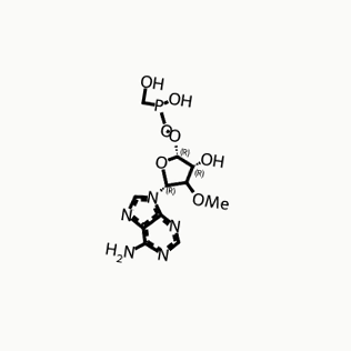 COC1[C@@H](O)[C@@H](OOP(O)CO)O[C@H]1n1cnc2c(N)ncnc21